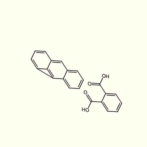 O=C(O)c1ccccc1C(=O)O.c1ccc2c3c4c-3cccc4cc2c1